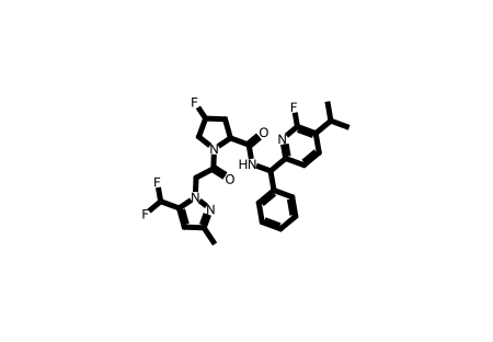 Cc1cc(C(F)F)n(CC(=O)N2CC(F)CC2C(=O)NC(c2ccccc2)c2ccc(C(C)C)c(F)n2)n1